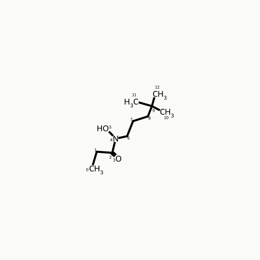 CCC(=O)N(O)CCCC(C)(C)C